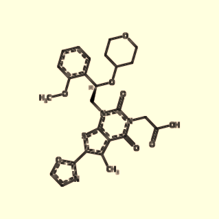 COc1ccccc1[C@H](Cn1c(=O)n(CC(=O)O)c(=O)c2c(C)c(-c3ncco3)sc21)OC1CCOCC1